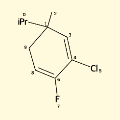 CC(C)C1(C)C=C(Cl)C(F)=CC1